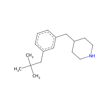 CC(C)(C)Cc1cccc(CC2CCNCC2)c1